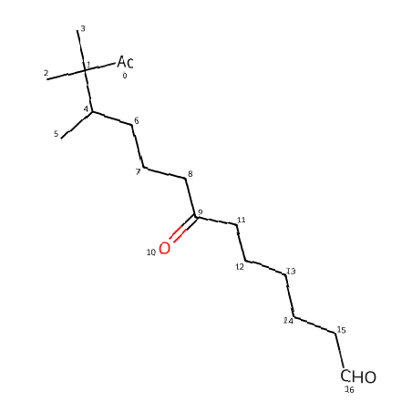 CC(=O)C(C)(C)C(C)CCCC(=O)CCCCCC=O